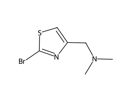 CN(C)Cc1csc(Br)n1